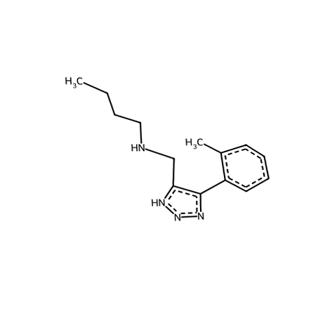 CCCCNCc1[nH]nnc1-c1ccccc1C